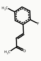 CC(=O)C=Cc1cc(C)ccc1F